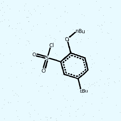 CCCCOc1ccc(C(C)(C)C)cc1S(=O)(=O)Cl